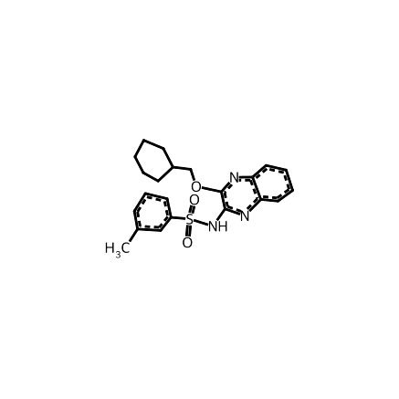 Cc1cccc(S(=O)(=O)Nc2nc3ccccc3nc2OCC2CCCCC2)c1